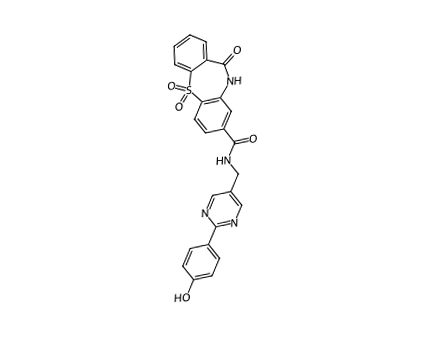 O=C(NCc1cnc(-c2ccc(O)cc2)nc1)c1ccc2c(c1)NC(=O)c1ccccc1S2(=O)=O